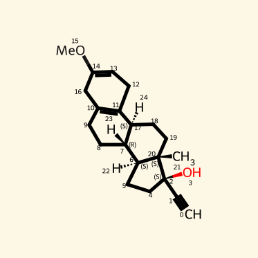 C#C[C@]1(O)CC[C@H]2[C@@H]3CCC4=C(CC=C(OC)C4)[C@H]3CC[C@@]21C